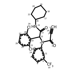 C#CC(=O)N(c1cccc(C(F)(F)F)c1)C(C(=O)NC1CCCCC1)c1c(C)cccc1Cl